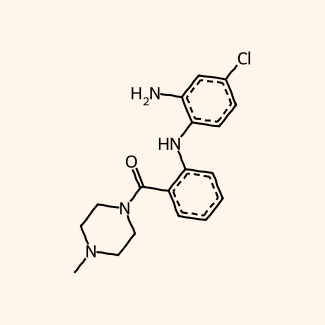 CN1CCN(C(=O)c2ccccc2Nc2ccc(Cl)cc2N)CC1